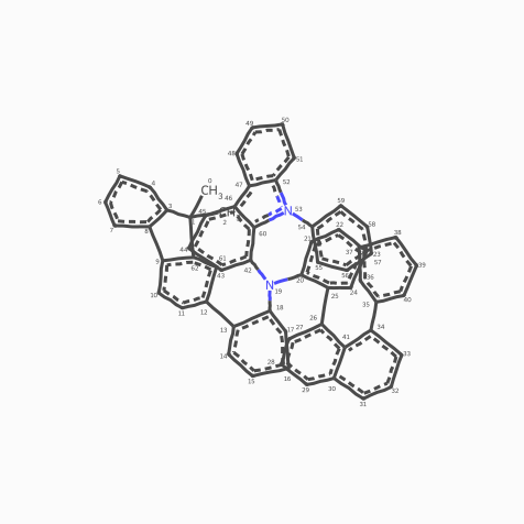 CC1(C)c2ccccc2-c2ccc(-c3ccccc3N(c3ccccc3-c3cccc4cccc(-c5ccccc5)c34)c3cccc4c5ccccc5n(-c5ccccc5)c34)cc21